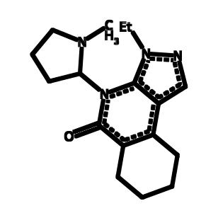 CCn1ncc2c3c(c(=O)n(C4CCCN4C)c21)CCCC3